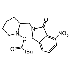 CC(C)(C)C(=O)ON1CCCCC1CN1Cc2cccc([N+](=O)[O-])c2C1=O